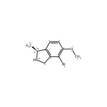 COc1ccc2c(c1Br)CN[C@H]2C